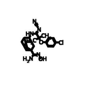 CC(C)(Oc1ccc(Cl)cc1)/C(=N/C#N)NC1C2CC3CC1CC(/C(N)=N/O)(C3)C2